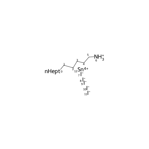 CCCCCCCCCCCC[NH3+].[I-].[I-].[I-].[I-].[I-].[Sn+4]